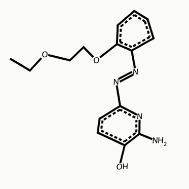 CCOCCOc1ccccc1/N=N/c1ccc(O)c(N)n1